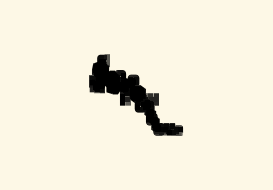 COCCOCCOC(=O)Nc1ccc(-n2[nH]c([C@@H]3CCc4cc(-c5cc(Cl)ccc5-n5cnnn5)cc(=O)n43)cc2=O)cc1